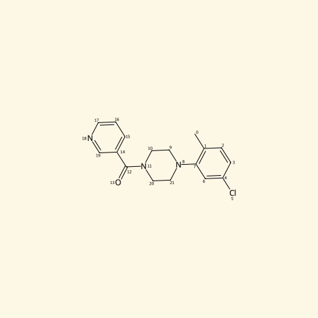 Cc1ccc(Cl)cc1N1CCN(C(=O)c2cccnc2)CC1